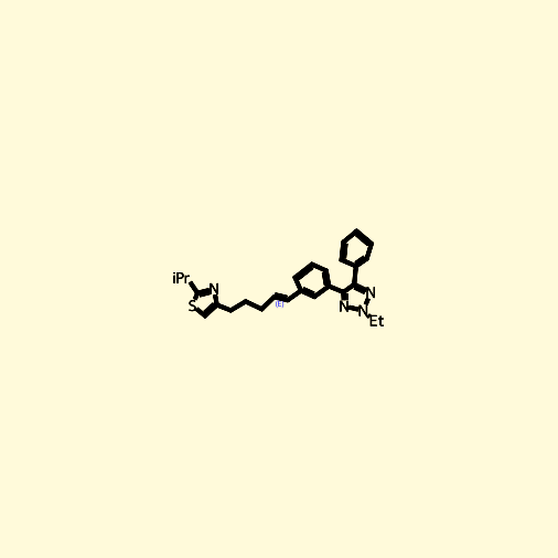 CCn1nc(-c2ccccc2)c(-c2cccc(/C=C/CCCc3csc(C(C)C)n3)c2)n1